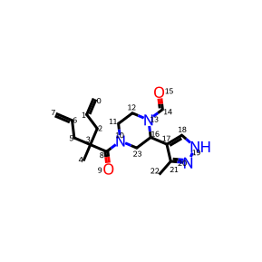 C=CCC(C)(CC=C)C(=O)N1CCN(C=O)C(c2c[nH]nc2C)C1